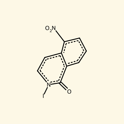 O=c1c2cccc([N+](=O)[O-])c2ccn1I